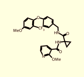 COc1ccc(Oc2ccc(CNC(=O)C3(NC(=O)c4cccnc4OC)CC3)cc2)c(C(F)(F)F)c1